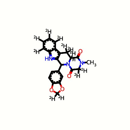 [2H]c1c([2H])c([2H])c2c3c([nH]c2c1[2H])C(c1ccc2c(c1)OC([2H])([2H])O2)N1C(=O)C([2H])([2H])N(C)C(=O)[C@@]1([2H])C3([2H])[2H]